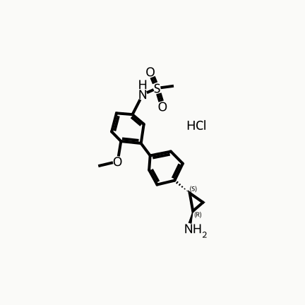 COc1ccc(NS(C)(=O)=O)cc1-c1ccc([C@@H]2C[C@H]2N)cc1.Cl